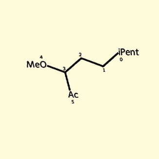 CCCC(C)CCC(OC)C(C)=O